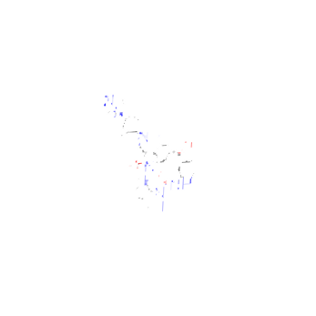 Cc1ccccc1NC(=O)Nc1cccc(C(=O)c2ccc3c(c2)NC(=O)/C3=C/Nc2ccc(N3CCN(C)CC3)cc2)c1